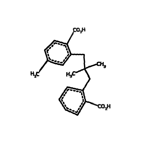 Cc1ccc(C(=O)O)c(CC(C)(C)Cc2ccccc2C(=O)O)c1